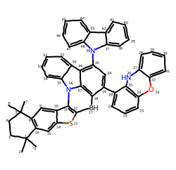 CC1(C)CCC(C)(C)c2cc3c4c(sc3cc21)Bc1c(-c2cccc3c2Nc2ccccc2O3)cc(-n2c3ccccc3c3ccccc32)c2c3ccccc3n-4c12